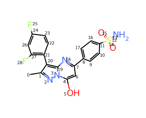 Cc1nn2c(O)cc(-c3ccc(S(N)(=O)=O)cc3)nc2c1-c1ccc(F)cc1F